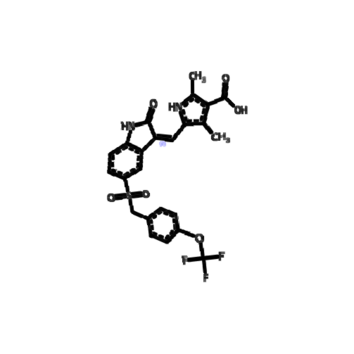 Cc1[nH]c(/C=C2\C(=O)Nc3ccc(S(=O)(=O)Cc4ccc(OC(F)(F)F)cc4)cc32)c(C)c1C(=O)O